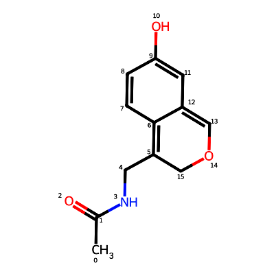 CC(=O)NCC1=c2ccc(O)cc2=COC1